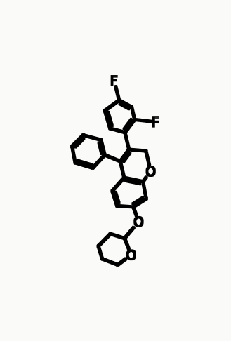 Fc1ccc(C2=C(c3ccccc3)c3ccc(OC4CCCCO4)cc3OC2)c(F)c1